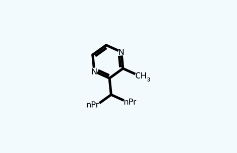 CCCC(CCC)c1nccnc1C